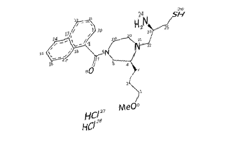 COCCC[C@H]1CN(C(=O)c2cccc3ccccc23)CCN1C[C@@H](N)CS.Cl.Cl